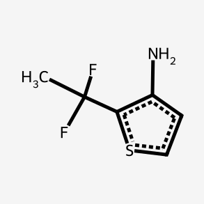 CC(F)(F)c1sccc1N